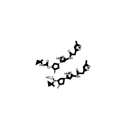 Cc1cc(CC(=O)Nc2cc([C@@H]3C[C@@H](F)[C@H](OC(=O)NC4(C)CC4)C3)[nH]n2)on1.Cc1cc(CC(=O)Nc2cc([C@H]3C[C@H](F)[C@@H](N(C(=O)O)C4(C)CC4)C3)[nH]n2)on1